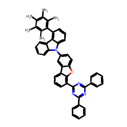 Bc1c(B)c(B)c(-c2cccc3c2c2ccccc2n3-c2ccc3oc4c(-c5nc(-c6ccccc6)nc(-c6ccccc6)n5)cccc4c3c2)c(B)c1B